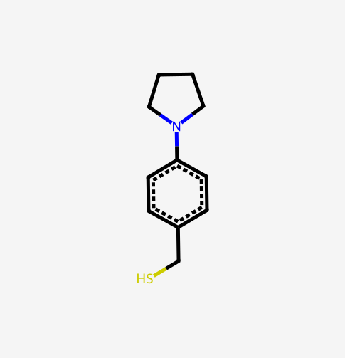 SCc1ccc(N2CCCC2)cc1